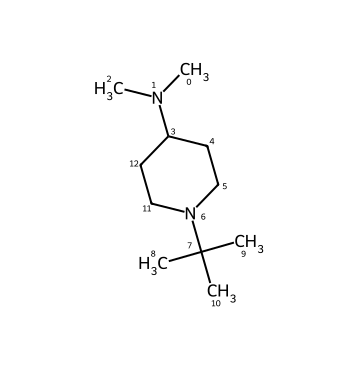 CN(C)C1CCN(C(C)(C)C)CC1